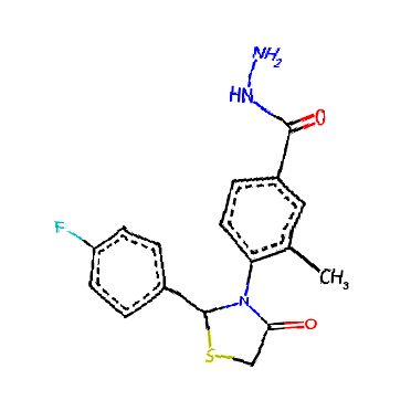 Cc1cc(C(=O)NN)ccc1N1C(=O)CSC1c1ccc(F)cc1